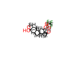 C[C@]12CC[C@@](O)(O[SiH3])CC1=CC[C@H]1[C@@H]3CCC(=O)[C@@]3(COS(=O)(=O)C(F)(F)F)CC[C@@H]12